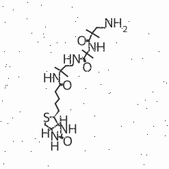 CC(C)(CCNC(=O)C(C)(C)NC(=O)C(C)(C)CCN)NC(=O)CCCC[C@@H]1SC[C@@H]2NC(=O)N[C@@H]21